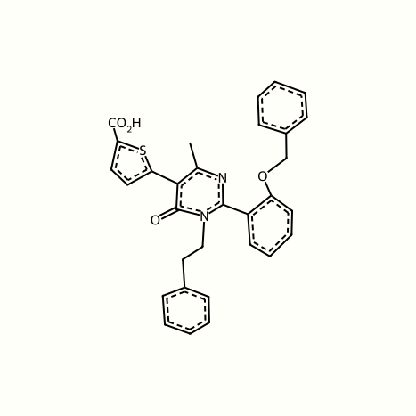 Cc1nc(-c2ccccc2OCc2ccccc2)n(CCc2ccccc2)c(=O)c1-c1ccc(C(=O)O)s1